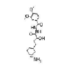 COc1ccc(C(=O)NNC(=O)C(O)CCC2CCC[C@@H](N)C2)cc1OC